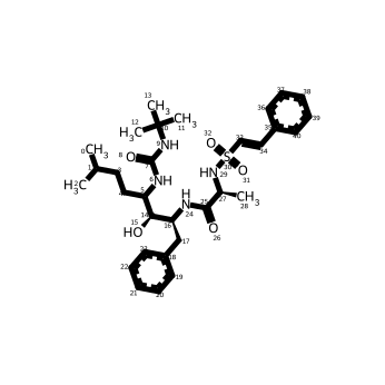 CC(C)CCC(NC(=O)NC(C)(C)C)[C@H](O)[C@H](Cc1ccccc1)NC(=O)[C@H](C)NS(=O)(=O)C=Cc1ccccc1